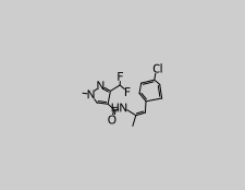 CC(=Cc1ccc(Cl)cc1)NC(=O)c1cn(C)nc1C(F)F